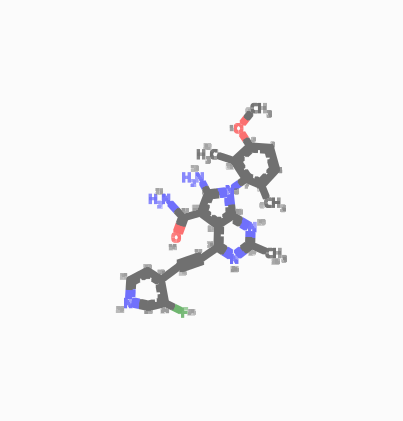 COc1ccc(C)c(-n2c(N)c(C(N)=O)c3c(C#Cc4ccncc4F)nc(C)nc32)c1C